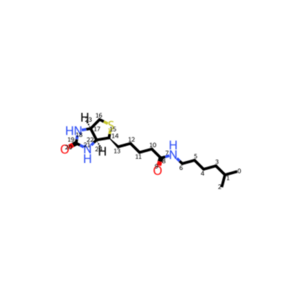 CC(C)CCCCNC(=O)CCCC[C@@H]1SC[C@@H]2NC(=O)N[C@@H]21